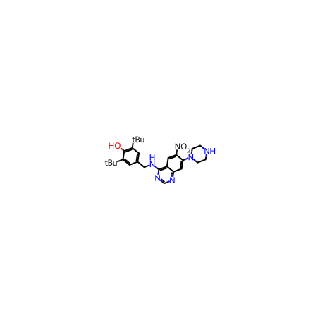 CC(C)(C)c1cc(CNc2ncnc3cc(N4CCNCC4)c([N+](=O)[O-])cc23)cc(C(C)(C)C)c1O